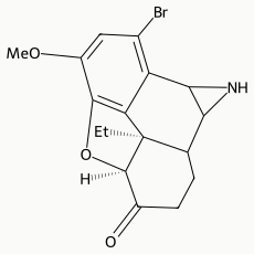 CC[C@]12c3c4c(OC)cc(Br)c3C3NC3C1CCC(=O)[C@H]2O4